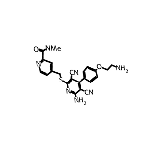 CNC(=O)c1cc(CSc2nc(N)c(C#N)c(-c3ccc(OCCN)cc3)c2C#N)ccn1